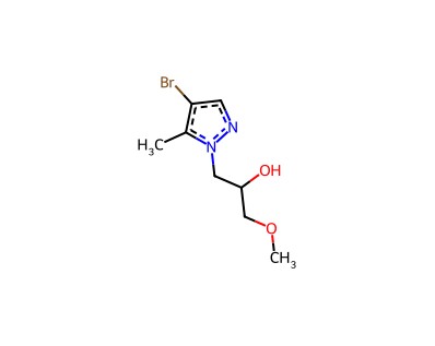 COCC(O)Cn1ncc(Br)c1C